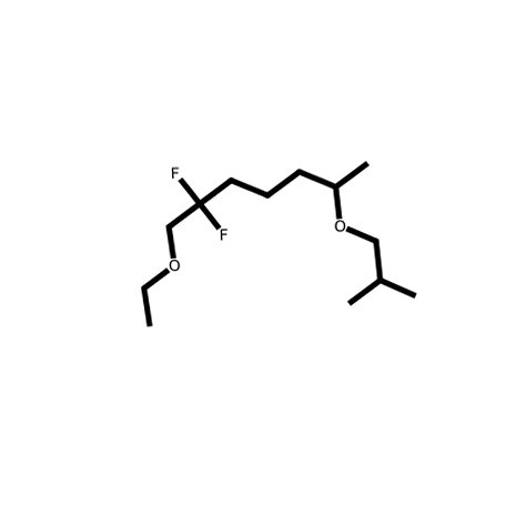 CCOCC(F)(F)CCCC(C)OCC(C)C